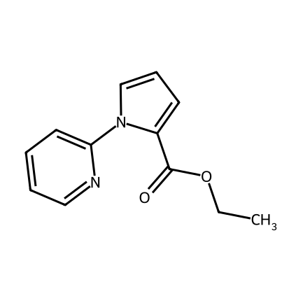 CCOC(=O)c1cccn1-c1ccccn1